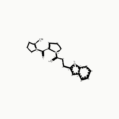 N#C[C@@H]1CCCN1C(=O)[C@H]1CCCN1C(=O)CCc1cc2ccccc2o1